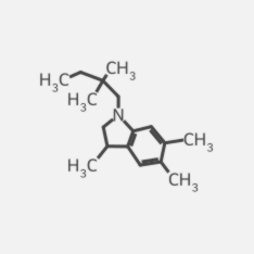 CCC(C)(C)CN1CC(C)c2cc(C)c(C)cc21